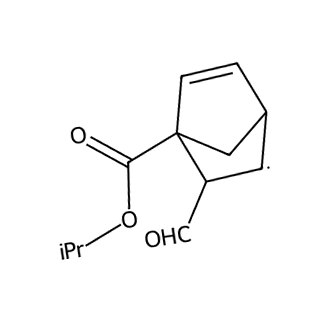 CC(C)OC(=O)C12C=CC([CH]C1C=O)C2